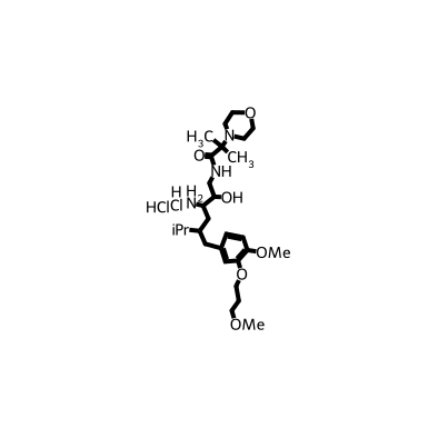 COCCCOc1cc(CC(CC(N)C(O)CNC(=O)C(C)(C)N2CCOCC2)C(C)C)ccc1OC.Cl.Cl